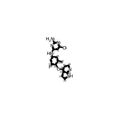 Nc1nc(Cl)cc(Nc2cc(F)c(Oc3ccnc4[nH]ccc34)c(F)c2)n1